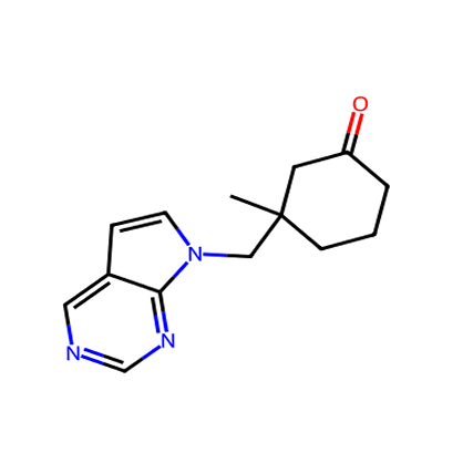 CC1(Cn2ccc3cncnc32)CCCC(=O)C1